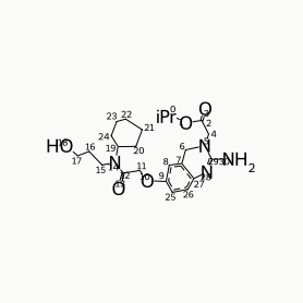 CC(C)OC(=O)CN1Cc2cc(OCC(=O)N(CCCO)C3CCCCC3)ccc2N=C1N